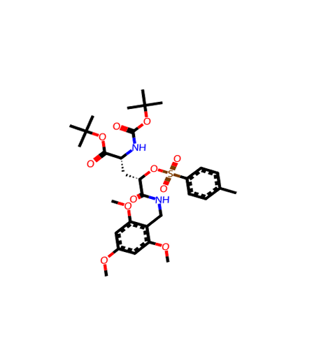 COc1cc(OC)c(CNC(=O)[C@H](C[C@@H](NC(=O)OC(C)(C)C)C(=O)OC(C)(C)C)OS(=O)(=O)c2ccc(C)cc2)c(OC)c1